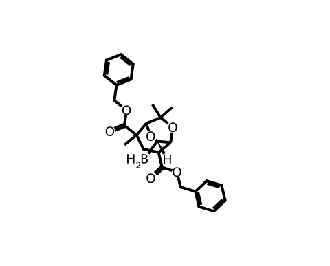 B[C@@H]1OC2C(C)(C)OC1C(C(=O)OCc1ccccc1)CC2(C)C(=O)OCc1ccccc1